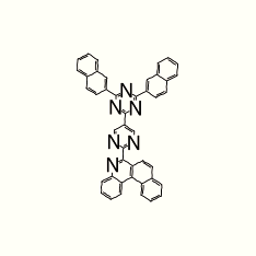 c1ccc2cc(-c3nc(-c4cnc(-c5nc6ccccc6c6c5ccc5ccccc56)nc4)nc(-c4ccc5ccccc5c4)n3)ccc2c1